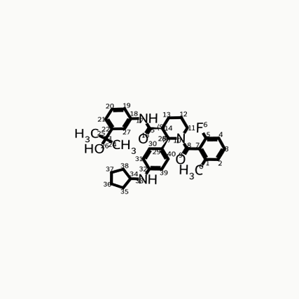 Cc1cccc(F)c1C(=O)N1CCC[C@H](C(=O)Nc2cccc(C(C)(C)O)c2)[C@@H]1c1ccc(NC2CCCC2)cc1